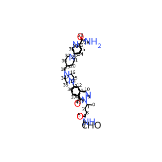 CC(CCC(=O)NC=O)n1ncc2cc(N3CCN(CC4CCN(c5ccc(C(N)=O)nc5)CC4)CC3)ccc2c1=O